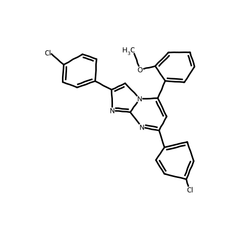 COc1ccccc1-c1cc(-c2ccc(Cl)cc2)nc2nc(-c3ccc(Cl)cc3)cn12